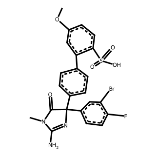 COc1ccc(S(=O)(=O)O)c(-c2ccc(C3(c4ccc(F)c(Br)c4)N=C(N)N(C)C3=O)cc2)c1